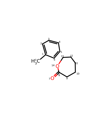 Cc1ccccc1.O=C1CCCCCO1